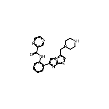 O=C(Nc1ccccc1-c1cn2c(CN3CCNCC3)csc2n1)c1cnccn1